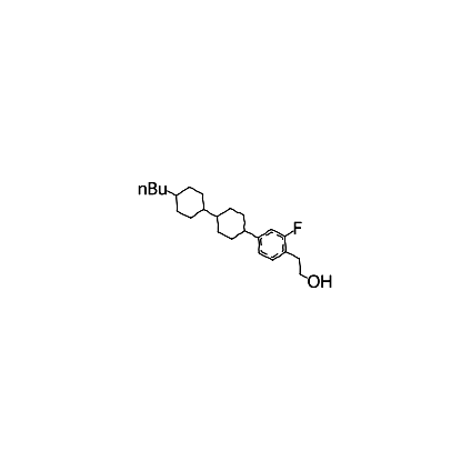 CCCCC1CCC(C2CCC(c3ccc(CCO)c(F)c3)CC2)CC1